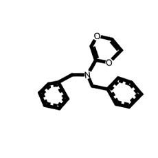 C1=COC(N(Cc2ccccc2)Cc2ccccc2)=CO1